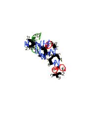 CC(C)(C)OC(=O)N1CCC(N2CCOc3c(Nc4c(Cl)cncc4Cl)ncnc32)CC1